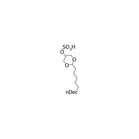 CCCCCCCCCCCCCCCC1OCC(OS(=O)(=O)O)CO1